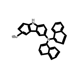 CC(C)(C)c1ccc2[nH]c3ccc(N(c4cccc5ccccc45)c4cccc5ccccc45)cc3c2c1